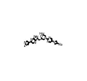 Cn1cc(-c2cnc3c(nnn3C[C@@H]3CN(c4ncc(N5C[CH]([Na])C5)cn4)CCO3)n2)cn1.[HH]